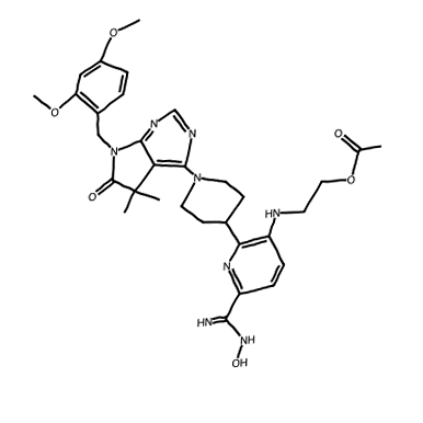 COc1ccc(CN2C(=O)C(C)(C)c3c(N4CCC(c5nc(C(=N)NO)ccc5NCCOC(C)=O)CC4)ncnc32)c(OC)c1